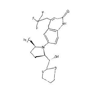 C[C@@H]1CC[C@H]([C@H](O)C2SCCCS2)N1c1ccc2[nH]c(=O)cc(C(F)(F)F)c2c1